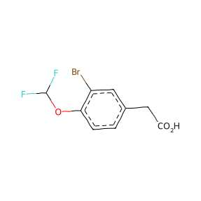 O=C(O)Cc1ccc(OC(F)F)c(Br)c1